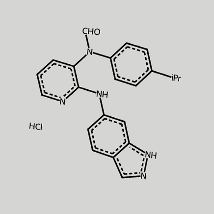 CC(C)c1ccc(N(C=O)c2cccnc2Nc2ccc3cn[nH]c3c2)cc1.Cl